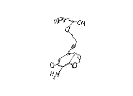 CCCC(C#N)OCC#Cc1cc(Cl)c(N)c2c1OCO2